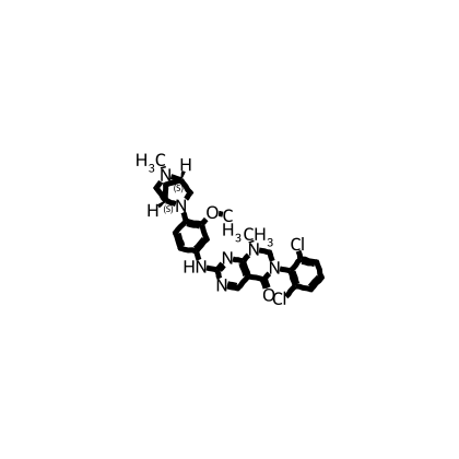 COc1cc(Nc2ncc3c(n2)N(C)CN(c2c(Cl)cccc2Cl)C3=O)ccc1N1C[C@@H]2C[C@H]1CN2C